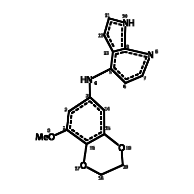 COc1cc(Nc2ccnc3[nH]ccc23)cc2c1OCCO2